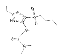 CCCCS(=O)(=O)c1nc(CC)[nH]c1N(C)C(=O)N(C)C